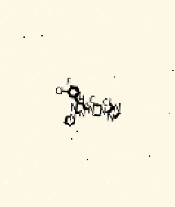 C[C@@H]1CN(c2nccnc2Cl)CCN1c1cc(-c2ccc(F)c(Cl)c2)nc(N2CCCC2)n1